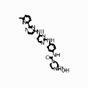 Cc1cccc(-c2nccc(Nc3ccnc(Nc4ccc(NC(=O)N5CCN[C@@H](CO)C5)cc4)n3)n2)n1